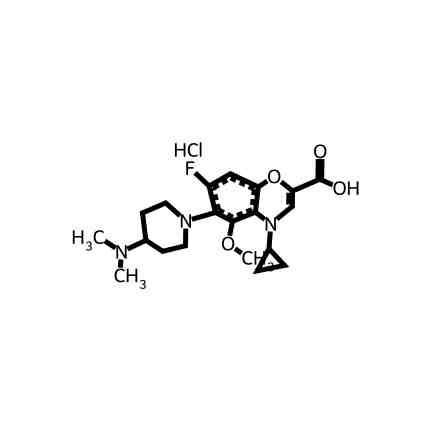 COc1c(N2CCC(N(C)C)CC2)c(F)cc2c1N(C1CC1)C=C(C(=O)O)O2.Cl